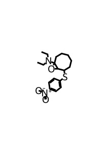 CCN(CC)C12CCCCCC(Sc3ccc([N+](=O)[O-])cc3)C1O2